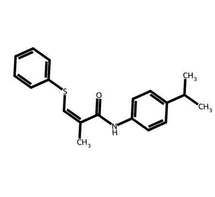 CC(=CSc1ccccc1)C(=O)Nc1ccc(C(C)C)cc1